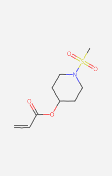 C=CC(=O)OC1CCN(S(C)(=O)=O)CC1